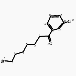 O=C(CCCCCCBr)c1cccc(Cl)c1